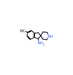 N#Cc1ccc2c(c1)CC1(CCNCC1)C2N